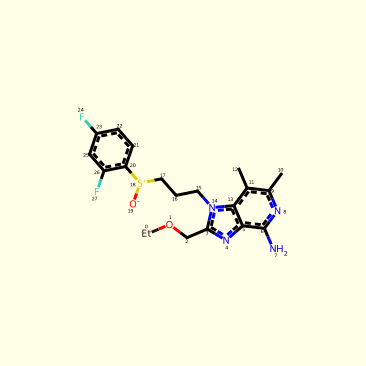 CCOCc1nc2c(N)nc(C)c(C)c2n1CCC[S+]([O-])c1ccc(F)cc1F